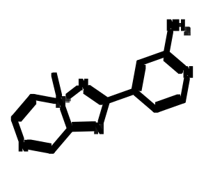 C[N+]12C=CN=CC1=NC(c1ccnc(N)c1)=N2